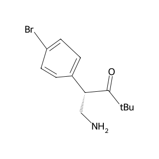 CC(C)(C)C(=O)[C@H](CN)c1ccc(Br)cc1